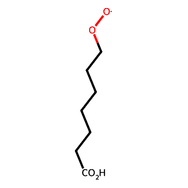 [O]OCCCCCCC(=O)O